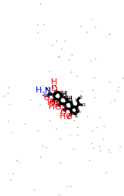 CCC(C)c1ccc(O)c2c1C[C@H]1C[C@H]3CC(O)=C(C(N)=O)C(=O)[C@@]3(O)C(O)=C1C2=O